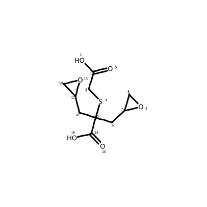 O=C(O)CSC(CC1CO1)(CC1CO1)C(=O)O